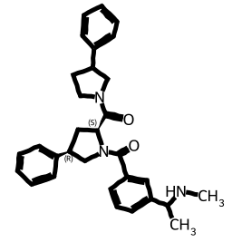 CNC(C)c1cccc(C(=O)N2C[C@@H](c3ccccc3)C[C@H]2C(=O)N2CCC(c3ccccc3)C2)c1